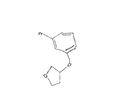 CC(C)c1cccc(OC2CCOC2)c1